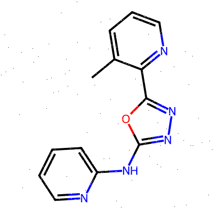 Cc1cccnc1-c1nnc(Nc2ccccn2)o1